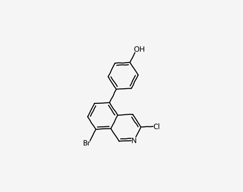 Oc1ccc(-c2ccc(Br)c3cnc(Cl)cc23)cc1